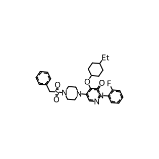 CCC1CCC(Oc2c(N3CCN(S(=O)(=O)Cc4ccccc4)CC3)cnn(-c3ccccc3F)c2=O)CC1